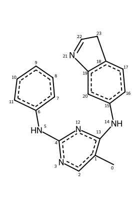 Cc1cnc(Nc2ccccc2)nc1Nc1ccc2c(c1)N=CC2